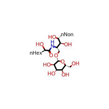 CCCCCCCCC[C@@H](O)[C@@H](O)[C@H](CO[C@@H]1O[C@H](CO)[C@@H](O)[C@H](O)[C@H]1O)NC(=O)[C@H](O)CCCCCC